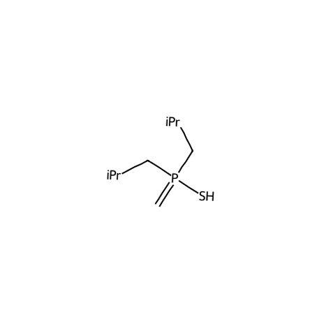 C=P(S)(CC(C)C)CC(C)C